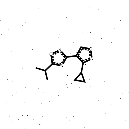 CC(C)c1nc(-c2conc2C2CC2)no1